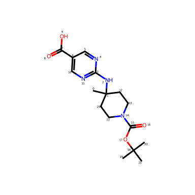 CC1(Nc2ncc(C(=O)O)cn2)CCN(C(=O)OC(C)(C)C)CC1